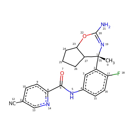 C[C@]1(c2cc(NC(=O)c3ccc(C#N)cn3)ccc2F)N=C(N)OC2CCCC21